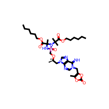 CCCCCCOC(=O)C(C)(C)N1C(C)(C(=O)OCCCCCC)NP1(=O)CO[C@H](C)Cn1cnc2c(=N)n(Cc3oc(=O)oc3C)cnc21